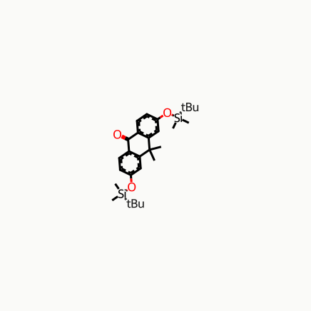 CC1(C)c2cc(O[Si](C)(C)C(C)(C)C)ccc2C(=O)c2ccc(O[Si](C)(C)C(C)(C)C)cc21